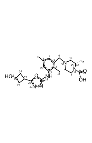 Cc1cc(CN2CCN(C(=O)O)[C@@H](C)C2)c(C)c(Nc2nnc(C3CC(O)C3)o2)c1